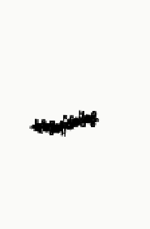 Cc1ccc(-c2ccc(N3C(=O)c4ccc(C(=O)Nc5ccc(-c6ccc(NC(=O)c7ccc8c(c7)C(=O)N(C)C8=O)cc6C(F)(F)F)c(C)c5)cc4C3=O)cc2C(F)(F)F)c(C)c1